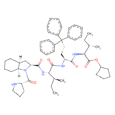 CC[C@H](C)[C@H](NC(=O)[C@@H]1C[C@@H]2CCCC[C@@H]2N1C(=O)[C@@H]1CCCN1)C(=O)N[C@@H](CSC(c1ccccc1)(c1ccccc1)c1ccccc1)C(=O)N[C@H](C(=O)OC1CCCC1)[C@@H](C)CC